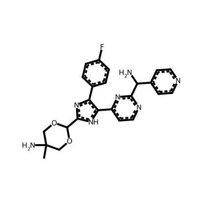 CC1(N)COC(c2nc(-c3ccc(F)cc3)c(-c3ccnc(C(N)c4ccncc4)n3)[nH]2)OC1